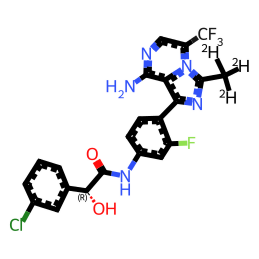 [2H]C([2H])([2H])c1nc(-c2ccc(NC(=O)[C@H](O)c3cccc(Cl)c3)cc2F)c2c(N)ncc(C(F)(F)F)n12